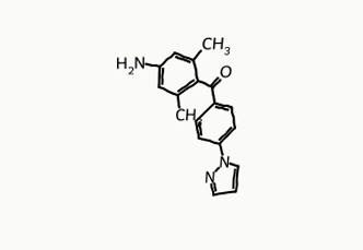 Cc1cc(N)cc(C)c1C(=O)c1ccc(-n2cccn2)cc1